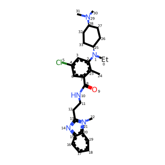 CCN(c1cc(Cl)cc(C(=O)NCCc2nc3ccccc3n2C)c1C)[C@H]1CC[C@H](N(C)C)CC1